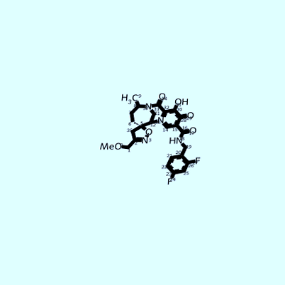 COCC1=NO[C@@]2(CCC(C)N3CC2n2cc(C(=O)NCc4ccc(F)cc4F)c(=O)c(O)c2C3=O)C1